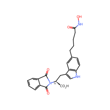 O=C(CCCCc1ccc2[nH]cc(C[C@@H](C(=O)O)N3C(=O)c4ccccc4C3=O)c2c1)NO